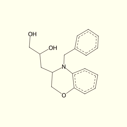 OCC(O)CC1COc2ccccc2N1Cc1ccccc1